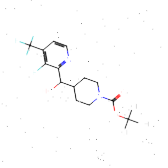 CC(C)(C)OC(=O)N1CCC(C(O)c2nccc(C(F)(F)F)c2F)CC1